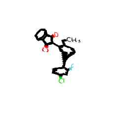 CCc1ccc(-c2ccc(Cl)cc2F)cc1C1C(=O)C2C3CCC(CC3)C2C1=O